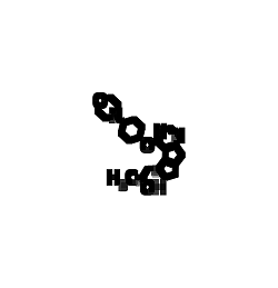 C[C@H](O)C[C@H]1CCC2=C1c1c(ncnc1O[C@H]1CC[C@H](N3CCOCC3)CC1)C2